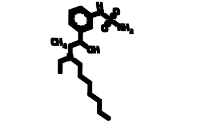 C.CCCCCCCN(CC)CC(O)c1cccc(NS(N)(=O)=O)c1